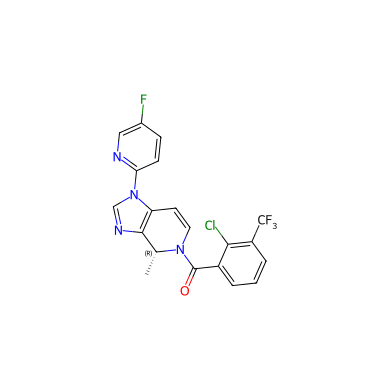 C[C@@H]1c2ncn(-c3ccc(F)cn3)c2C=CN1C(=O)c1cccc(C(F)(F)F)c1Cl